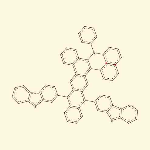 c1ccc(-c2c(N(c3ccccc3)c3ccccc3)c3ccccc3c3cc4c(-c5ccc6c(c5)sc5ccccc56)c5ccccc5c(-c5ccc6c(c5)sc5ccccc56)c4cc23)cc1